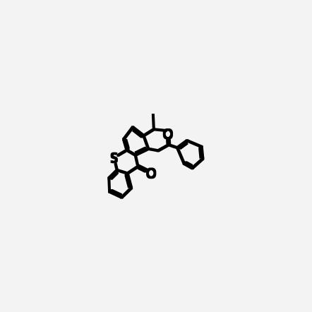 CC(C)c1ccc2sc3ccccc3c(=O)c2c1CC(=O)c1ccccc1